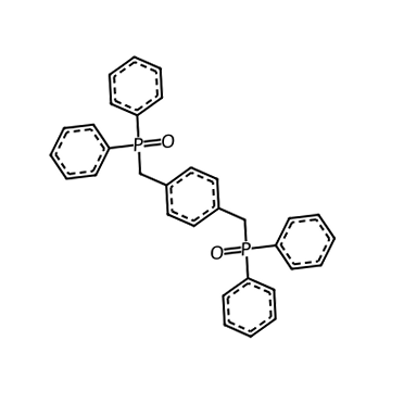 O=P(Cc1ccc(CP(=O)(c2ccccc2)c2ccccc2)cc1)(c1ccccc1)c1ccccc1